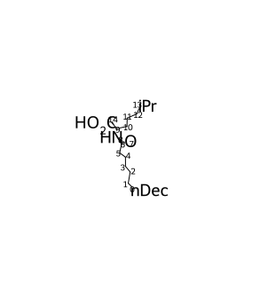 CCCCCCCCCCCCCCCC(=O)N[C@H](CCCC(C)C)C(=O)O